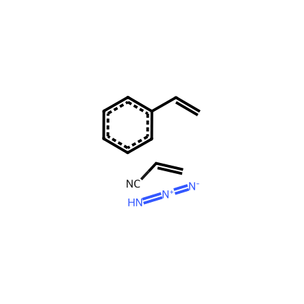 C=CC#N.C=Cc1ccccc1.[N-]=[N+]=N